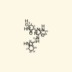 Cc1ccc(-c2nc3c(c(NCCc4c[nH]c5ccccc45)n2)OCCN3)c(=O)[nH]1